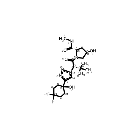 CNC(=O)[C@@H]1C[C@@H](O)CN1C(=O)[C@@H](n1cc(C2(O)CCC(F)(F)CC2)nn1)C(C)(C)C